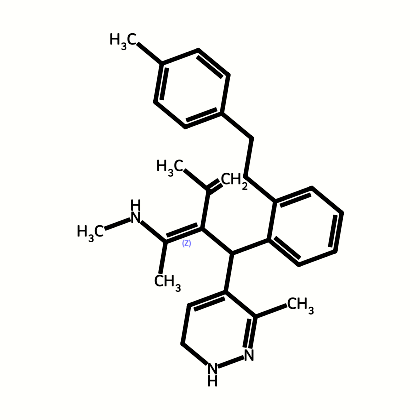 C=C(C)/C(=C(/C)NC)C(C1=CCNN=C1C)c1ccccc1CCc1ccc(C)cc1